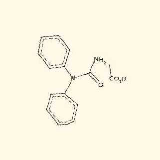 CC(=O)O.NC(=O)N(c1ccccc1)c1ccccc1